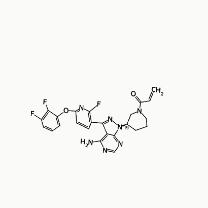 C=CC(=O)N1CCC[C@@H](n2nc(-c3ccc(Oc4cccc(F)c4F)nc3F)c3c(N)ncnc32)C1